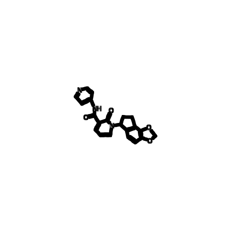 O=C(Nc1ccncc1)c1cccn(C2CCc3c2ccc2c3OCO2)c1=O